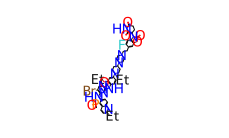 CCOc1cc(N2CCC(N3CCN(CCc4cc5oc(=O)n(C6CCC(=O)NC6=O)c5cc4F)CC3)CC2)c(CC)cc1Nc1ncc(Br)c(Nc2ccc3nc(CC)ccc3c2P(C)(C)=O)n1